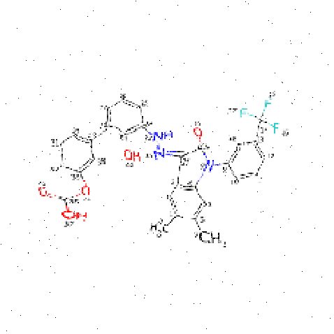 Cc1cc2c(cc1C)N(c1cccc(C(F)(F)F)c1)C(=O)C2=NNc1cccc(-c2cccc(OC(=O)O)c2)c1O